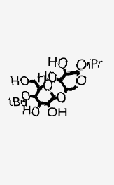 CC(C)OC1OCC(OC2OC(CO)C(OC(C)(C)C)C(O)C2O)C(O)C1O